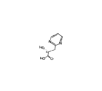 O=C(O)[C@H](O)Cc1ncccn1